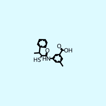 Cc1cc(NC(=O)C(S)C(C)c2ccccc2)cc(C(=O)O)c1